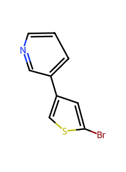 Brc1cc(-c2cccnc2)cs1